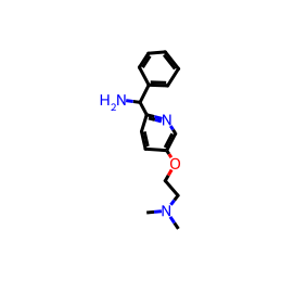 CN(C)CCOc1ccc(C(N)c2ccccc2)nc1